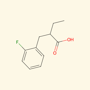 CCC(Cc1ccccc1F)C(=O)O